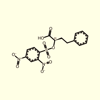 O=C(O)[C@@H](CCc1ccccc1)OS(=O)(=O)c1ccc([N+](=O)[O-])cc1[N+](=O)[O-]